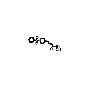 O=C(CCCC1CCN(S(=O)(=O)c2ccccc2)CC1)NO